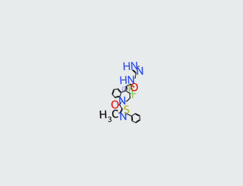 Cc1nc(-c2ccccc2)sc1C(=O)N1CCC(F)(F)/C(=C\C(=O)NCc2c[nH]cn2)c2ccccc21